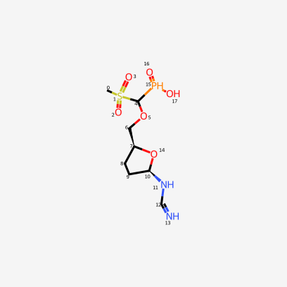 CS(=O)(=O)C(OC[C@@H]1CC[C@H](NC=N)O1)[PH](=O)O